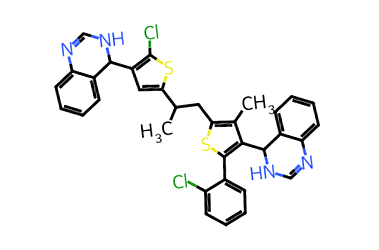 Cc1c(CC(C)c2cc(C3NC=Nc4ccccc43)c(Cl)s2)sc(-c2ccccc2Cl)c1C1NC=Nc2ccccc21